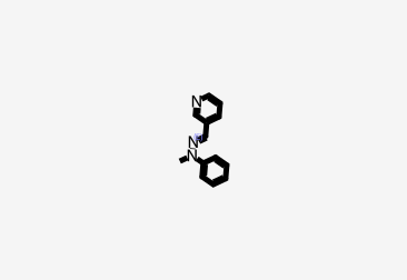 CN(/N=C/c1cccnc1)c1ccccc1